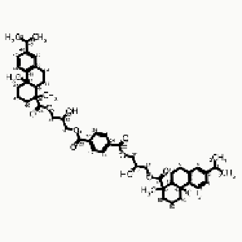 CC(C)c1ccc2c(c1)CCC1C(C)(C(=O)OCC(O)COC(=O)c3ccc(C(=O)OCC(O)COC(=O)C4(C)CCCC5(C)c6ccc(C(C)C)cc6CCC45)cc3)CCCC21C